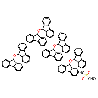 O=CS(=O)(=O)C=O.c1ccc2c(c1)-c1ccccc1C2OC1c2ccccc2-c2ccccc21.c1ccc2c(c1)-c1ccccc1C2OC1c2ccccc2-c2ccccc21.c1ccc2c(c1)-c1ccccc1C2OC1c2ccccc2-c2ccccc21.c1ccc2c(c1)-c1ccccc1C2OC1c2ccccc2-c2ccccc21